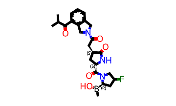 CB(O)[C@@H]1CC(F)CN1C(=O)[C@@H]1C[C@@H](CC(=O)N2Cc3cccc(C(=O)C(C)C)c3C2)C(=O)N1